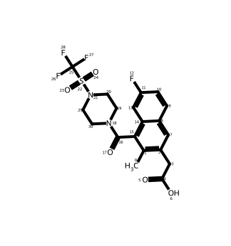 Cc1c(CC(=O)O)cc2ccc(F)cc2c1C(=O)N1CCN(S(=O)(=O)C(F)(F)F)CC1